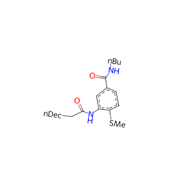 CCCCCCCCCCCC(=O)Nc1cc(C(=O)NCCCC)ccc1SC